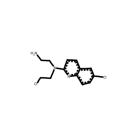 NCCN(CCCl)c1ccc2cc(Cl)ccc2n1